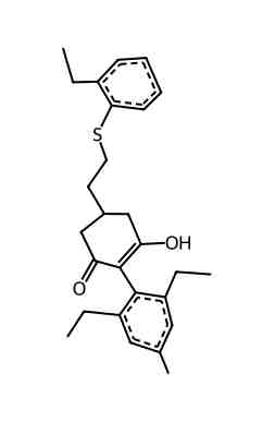 CCc1ccccc1SCCC1CC(=O)C(c2c(CC)cc(C)cc2CC)=C(O)C1